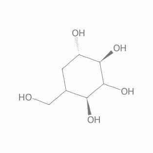 OCC1C[C@H](O)[C@@H](O)C(O)[C@H]1O